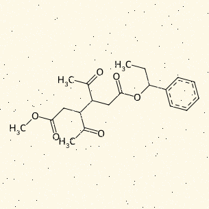 CCC(OC(=O)CC(C(C)=O)C(CC(=O)OC)C(C)=O)c1ccccc1